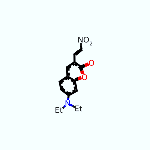 CCN(CC)c1ccc2cc(/C=C/[N+](=O)[O-])c(=O)oc2c1